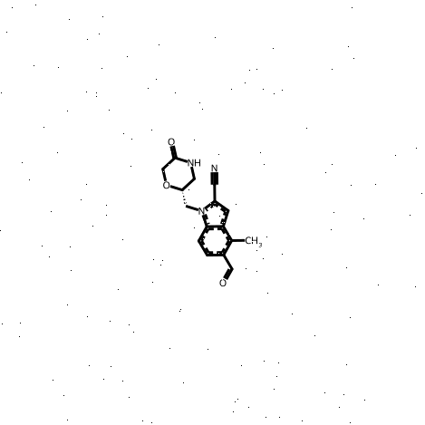 Cc1c(C=O)ccc2c1cc(C#N)n2C[C@H]1CNC(=O)CO1